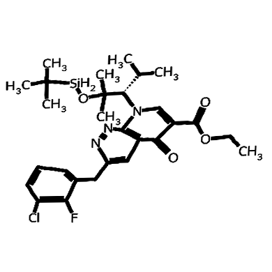 CCOC(=O)c1cn([C@@H](C(C)C)C(C)(C)O[SiH2]C(C)(C)C)c2nnc(Cc3cccc(Cl)c3F)cc2c1=O